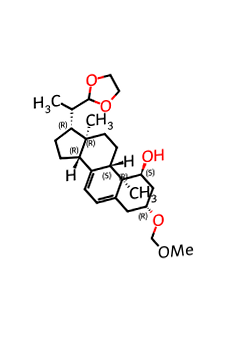 COCO[C@@H]1CC2=CC=C3[C@@H]4CC[C@H](C(C)C5OCCO5)[C@@]4(C)CC[C@@H]3[C@@]2(C)[C@@H](O)C1